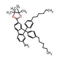 Bc1ccc2c(c1)C(c1ccc(CCCCCC)cc1)(c1ccc(CCCCCC)cc1)c1cc(B3OC(C)(C)C(C)(C)O3)ccc1-2